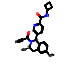 C#CC(=O)N1[C@@H](CCCC)Cc2cc(OC)ccc2[C@@H]1c1ccc(C(=O)NC2CCC2)nc1